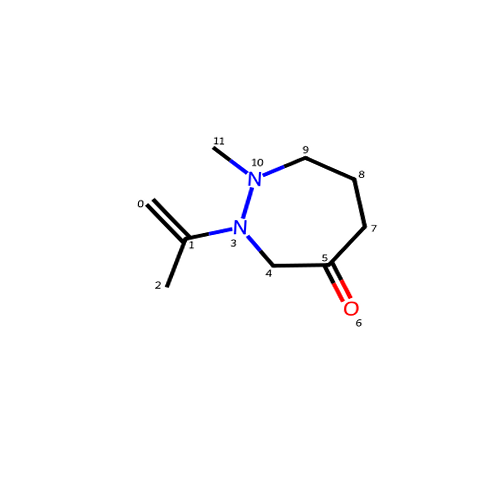 C=C(C)N1CC(=O)CCCN1C